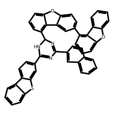 c1ccc2cc(C3=NC(c4cccc5oc6ccc(-c7cccc8oc9ccccc9c78)cc6c45)NC(c4ccc5c(c4)sc4ccccc45)=N3)ccc2c1